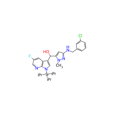 CC(C)[Si](C(C)C)(C(C)C)n1cc(C(O)c2cc(NCc3cccc(Cl)c3)nn2C)c2cc(F)cnc21